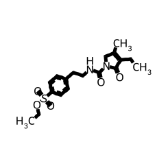 CCOS(=O)(=O)c1ccc(CCNC(=O)N2CC(C)=C(CC)C2=O)cc1